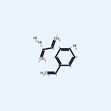 C=CC=C.C=Cc1ccccc1.I.I.I